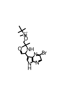 CC(C)(CO[Si](C)(C)C(C)(C)C)NC(C=O)c1c[nH]c2ncc(Br)nc12